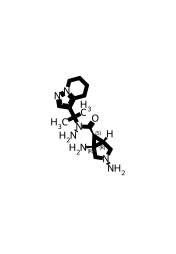 CC(C)(c1cnn2c1CCCC2)N(N)C(=O)[C@H]1[C@@H]2CN(N)C[C@@]21N